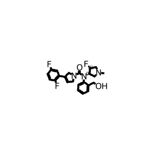 CN1C[C@H](F)[C@@H](N(C(=O)N2CC=C(c3cc(F)ccc3F)C2)c2ccccc2CO)C1